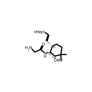 CCCCCCCC=C[C@@H]1CCC(C)(C)[C@H](OC)[C@H]1NC(=O)CN